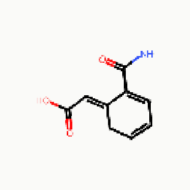 [NH]C(=O)C1=CC=CCC1=CC(=O)O